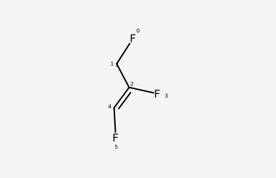 F[CH]C(F)=CF